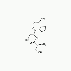 N[C@@H](CO)C(=O)N[C@@H](CO)C(=O)N1CCC[C@H]1C(=O)O